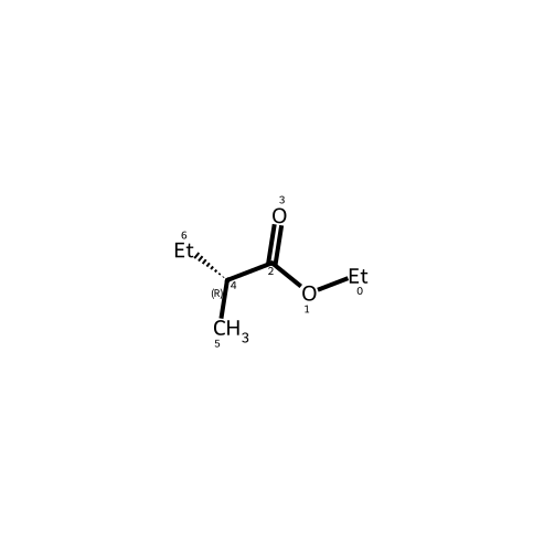 CCOC(=O)[C@H](C)CC